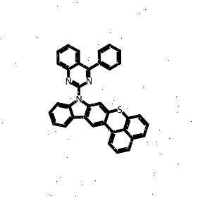 c1ccc(-c2nc(-n3c4ccccc4c4cc5c(cc43)Sc3cccc4cccc-5c34)nc3ccccc23)cc1